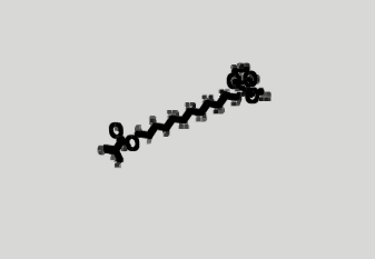 C=C(C)C(=O)OCCCCCCCCCCCC[Si](OC)(OC)OC